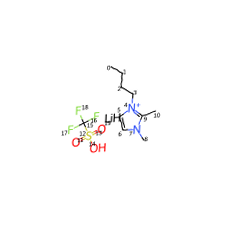 CCCC[n+]1ccn(C)c1C.O=S(=O)(O)C(F)(F)F.[LiH]